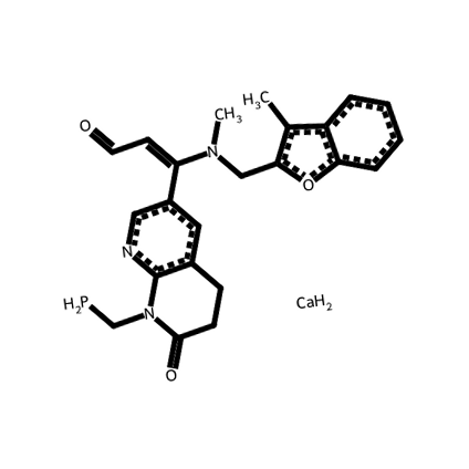 Cc1c(CN(C)/C(=C/C=O)c2cnc3c(c2)CCC(=O)N3CP)oc2ccccc12.[CaH2]